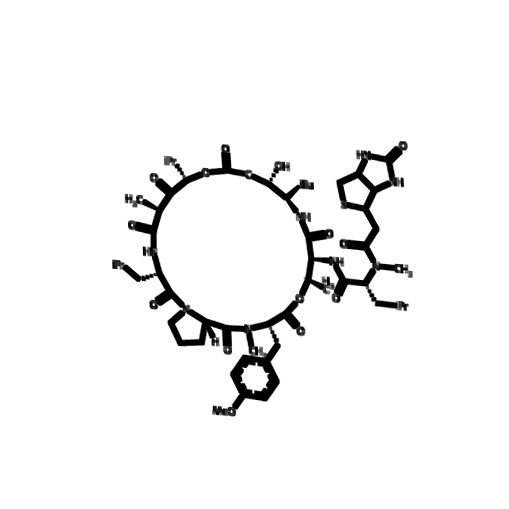 CC[C@H](C)[C@H]1NC(=O)[C@@H](NC(=O)[C@@H](CC(C)C)N(C)C(=O)CC2SCC3NC(=O)NC32)[C@@H](C)OC(=O)[C@H](Cc2ccc(OC)cc2)N(C)C(=O)[C@@H]2CCCN2C(=O)[C@H](CC(C)C)NC(=O)[C@@H](C)C(=O)[C@H](C(C)C)OC(=O)C[C@@H]1O